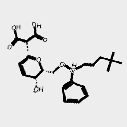 CC(C)(C)CCC[SiH](OC[C@H]1O[C@@H](C(C(=O)O)C(=O)O)C=C[C@H]1O)c1ccccc1